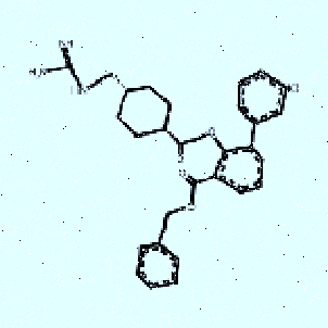 Cl.N=C(N)NC[C@H]1CC[C@H](C(=O)Oc2c(C(=O)OCc3ccccc3)cccc2-c2ccccc2)CC1